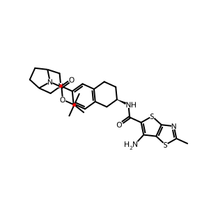 Cc1nc2sc(C(=O)N[C@@H]3CCc4cc(N5CC6CCC(C5)N6C(=O)OC(C)(C)C)ccc4C3)c(N)c2s1